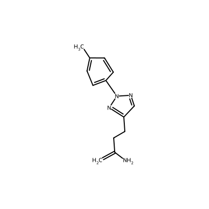 C=C(N)CCc1cnn(-c2ccc(C)cc2)n1